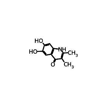 Cc1[nH]c2cc(O)c(O)cc2c(=O)c1C